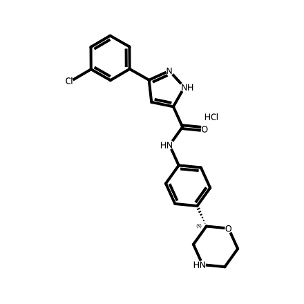 Cl.O=C(Nc1ccc([C@H]2CNCCO2)cc1)c1cc(-c2cccc(Cl)c2)n[nH]1